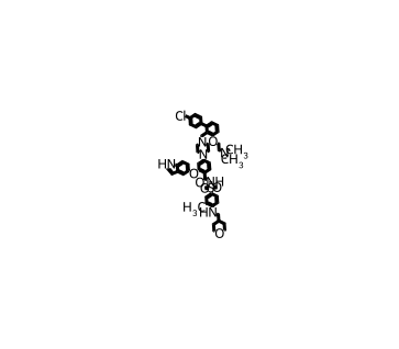 Cc1cc(S(=O)(=O)NC(=O)c2ccc(N3CCN(Cc4c(OCCN(C)C)cccc4-c4ccc(Cl)cc4)CC3)cc2Oc2ccc3[nH]ccc3c2)ccc1NCC1CCOCC1